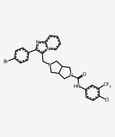 O=C(Nc1ccc(Cl)c(C(F)(F)F)c1)N1CC2CN(Cc3c(-c4ccc(Br)cc4)nc4ccccn34)CC2C1